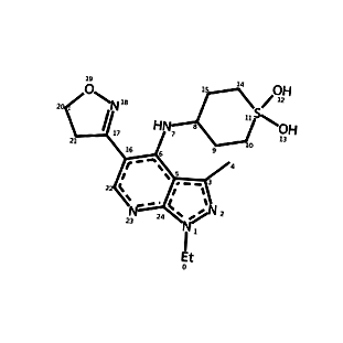 CCn1nc(C)c2c(NC3CCS(O)(O)CC3)c(C3=NO[C]C3)cnc21